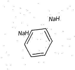 [NaH].[NaH].[c]1ccccc1